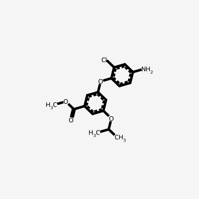 COC(=O)c1cc(Oc2ccc(N)cc2Cl)cc(OC(C)C)c1